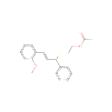 COc1c[c][c]cc1/C=C/C(SCCOC(C)=O)c1ccccc1